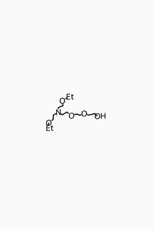 CCOCCN(CCOCC)CCOCCOCCO